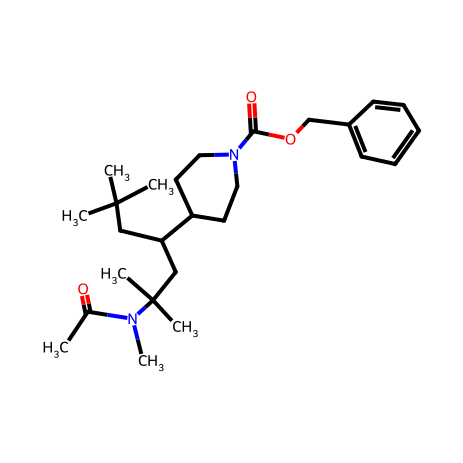 CC(=O)N(C)C(C)(C)CC(CC(C)(C)C)C1CCN(C(=O)OCc2ccccc2)CC1